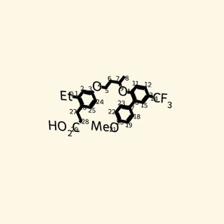 CCc1cc(OCCC(C)Oc2ccc(C(F)(F)F)cc2-c2ccc(OC)cc2)ccc1CCC(=O)O